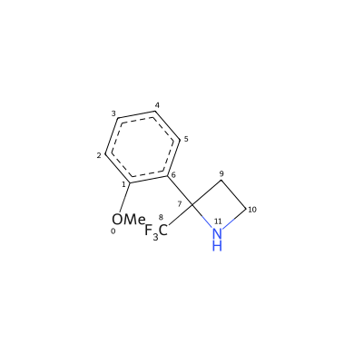 COc1ccccc1C1(C(F)(F)F)CCN1